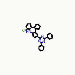 Clc1cccc2c1Nc1ccc(-c3nc(-c4ccccc4)nc(-c4ccccc4)n3)cc1-c1ccccc1-2